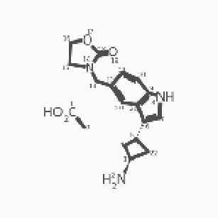 CC(=O)O.N[C@H]1C[C@H](c2c[nH]c3ccc(CN4CCOC4=O)cc32)C1